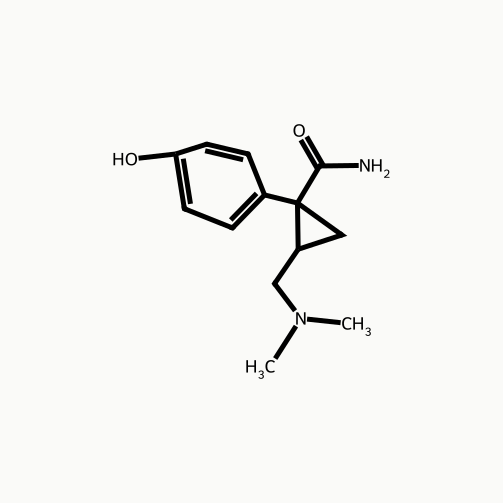 CN(C)CC1CC1(C(N)=O)c1ccc(O)cc1